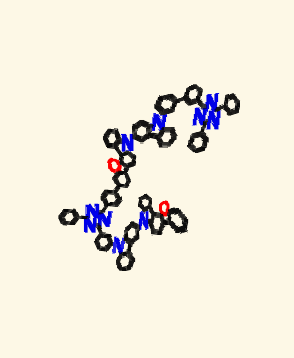 c1ccc(-c2nc(-c3ccccc3)nc(-c3cccc(-c4cccc(-n5c6ccccc6c6cc(-n7c8ccccc8c8c9oc%10cc(-c%11ccc(-c%12nc(-c%13ccccc%13)nc(-c%13cccc(-n%14c%15ccccc%15c%15cc(-n%16c%17ccccc%17c%17c%18oc%19ccccc%19c%18ccc%17%16)ccc%15%14)c%13)n%12)cc%11)ccc%10c9ccc87)ccc65)c4)c3)n2)cc1